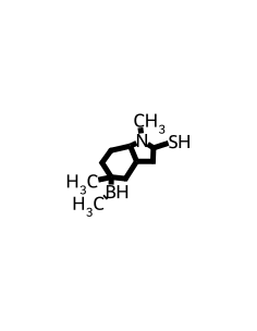 CBC1(C)CCC2C(CC(S)N2C)C1